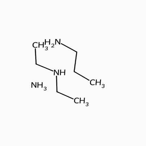 CCCN.CCNCC.N